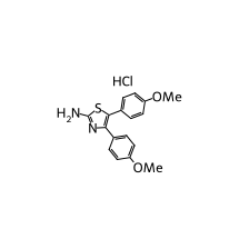 COc1ccc(-c2nc(N)sc2-c2ccc(OC)cc2)cc1.Cl